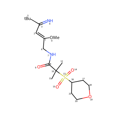 CO/C(=C\C(=N)C(C)(C)C)CNC(=O)C(C)(C)S(=O)(=O)C1CCOCC1